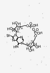 N=c1c2nc(Br)n3c2ncn1[C@H]1O[C@@H](COP(=O)(O)OP(=O)(O)OC[C@H]2O[C@@H]3[C@@H](O)C2O)C(O)[C@H]1O